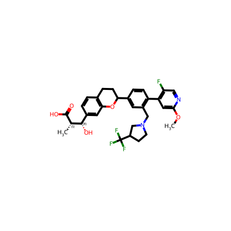 COc1cc(-c2ccc(C3CCc4ccc([C@H](O)[C@H](C)C(=O)O)cc4O3)cc2CN2CCC(C(F)(F)F)C2)c(F)cn1